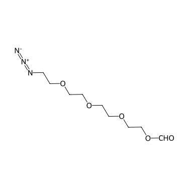 [N-]=[N+]=NCCOCCOCCOCCOC=O